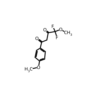 COc1ccc(C(=O)CC(=O)C(F)(F)OC)cc1